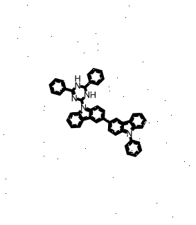 c1ccc(C2=NC(n3c4ccccc4c4cc(-c5ccc6c(c5)c5ccccc5n6-c5ccccc5)ccc43)NC(c3ccccc3)N2)cc1